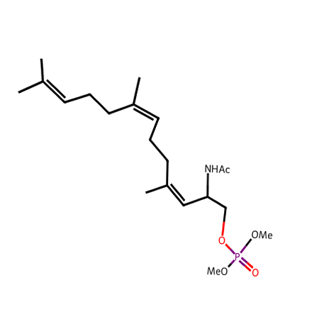 COP(=O)(OC)OCC(C=C(C)CCC=C(C)CCC=C(C)C)NC(C)=O